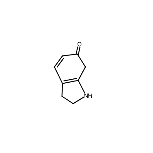 O=C1C=CC2=C(C1)NCC2